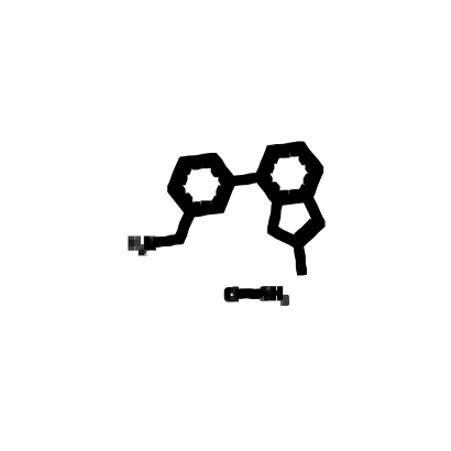 CC1=Cc2cccc(-c3cccc(CN)c3)c2C1.[SiH3]Cl